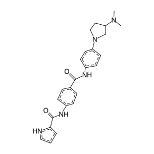 CN(C)C1CCN(c2ccc(NC(=O)c3ccc(NC(=O)c4ccc[nH]4)cc3)cc2)C1